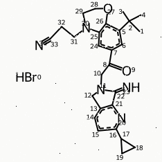 Br.CC(C)(C)c1cc(C(=O)CN2Cc3ccc(C4CC4)nc3C2=N)cc2c1OCCN2CCC#N